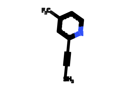 FC(F)(F)c1ccnc(C#C[SiH3])c1